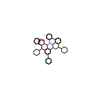 c1ccc(-c2cc(C3CC(C4CCCCC4)CCC3N(c3ccccc3-c3ccccc3)C3CCCC4c5ccccc5OC43)cc(C(C3CCCCC3)C3CCCCC3)c2)cc1